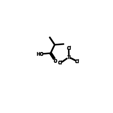 CC(C)C(=O)O.[Cl][Ti]([Cl])[Cl]